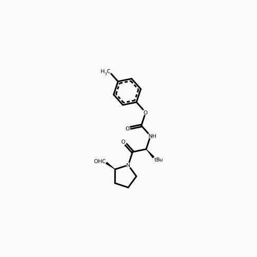 Cc1ccc(OC(=O)N[C@H](C(=O)N2CCC[C@H]2C=O)C(C)(C)C)cc1